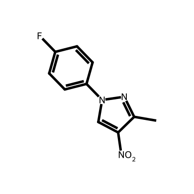 Cc1nn(-c2ccc(F)cc2)cc1[N+](=O)[O-]